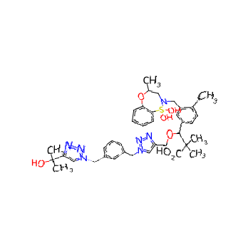 Cc1ccc(C(OCc2cn(Cc3cccc(Cn4cc(C(C)(C)O)nn4)c3)nn2)C(C)(C)C(=O)O)cc1CN1CC(C)Oc2ccccc2S1(O)O